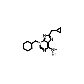 CCNc1ncn(CC2CCCCC2)c2nc(CC3CC3)nc1-2